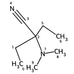 CCC(C#N)(CC)N(C)C